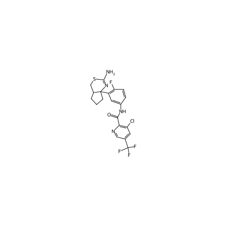 NC1=NC2(c3cc(NC(=O)c4ncc(C(F)(F)F)cc4Cl)ccc3F)CCCC2CS1